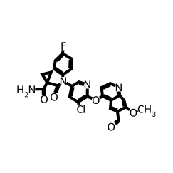 COc1cc2nccc(Oc3ncc(N(C(=O)C4(C(N)=O)CC4)c4ccc(F)cc4)cc3Cl)c2cc1C=O